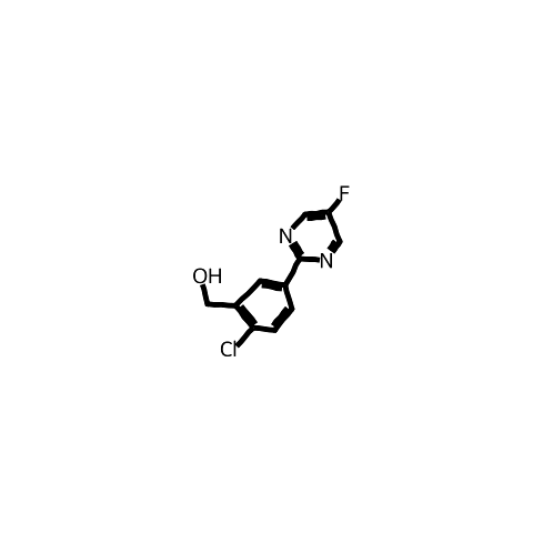 OCc1cc(-c2ncc(F)cn2)ccc1Cl